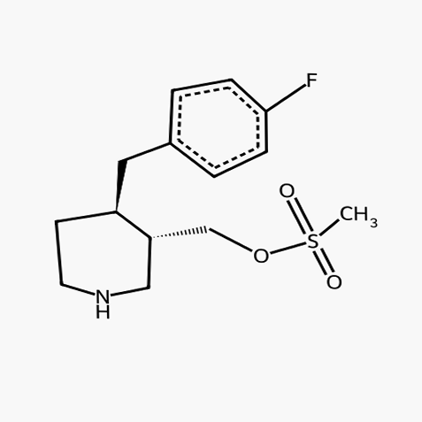 CS(=O)(=O)OC[C@@H]1CNCC[C@H]1Cc1ccc(F)cc1